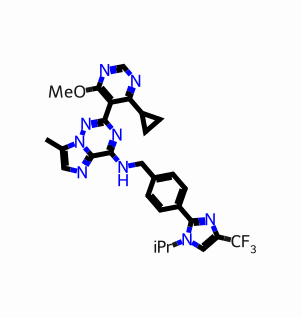 COc1ncnc(C2CC2)c1-c1nc(NCc2ccc(-c3nc(C(F)(F)F)cn3C(C)C)cc2)c2ncc(C)n2n1